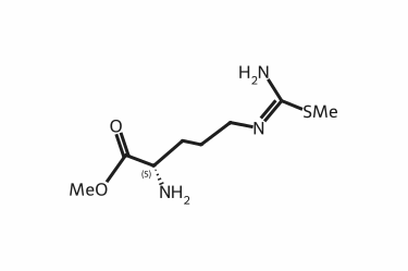 COC(=O)[C@@H](N)CCCN=C(N)SC